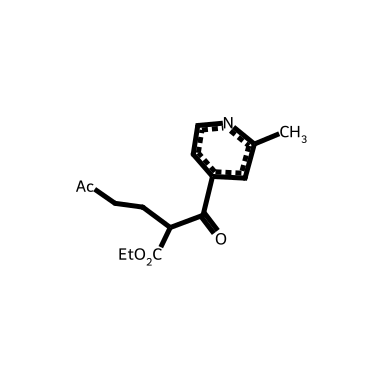 CCOC(=O)C(CCC(C)=O)C(=O)c1ccnc(C)c1